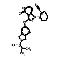 CC(C)[C@H](C)N1Cc2ccc(Nc3nn([C@H]4CCCC[C@@H]4C#N)c4cc[nH]c(=O)c34)cc2C1